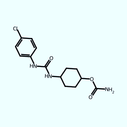 NC(=O)OC1CCC(NC(=O)Nc2ccc(Cl)cc2)CC1